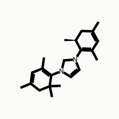 CC1=CC(C)=C(N2C=CN(C3=C(C)C=C(C)CC3(C)C)C2)[C@@H](C)C1